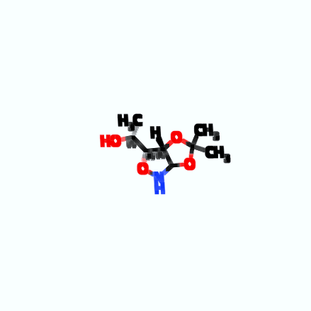 C[C@@H](O)[C@H]1ONC2OC(C)(C)O[C@H]21